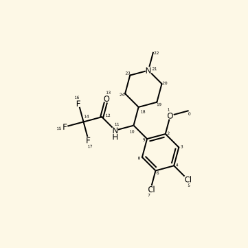 COc1cc(Cl)c(Cl)cc1C(NC(=O)C(F)(F)F)C1CCN(C)CC1